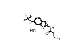 Cl.NCC(=O)Nn1cc2ccc(OC(F)(F)F)cc2n1